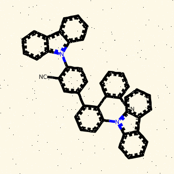 N#Cc1ccccc1-c1c(-c2ccc(-n3c4ccccc4c4ccccc43)c(C#N)c2)cccc1-n1c2ccccc2c2ccccc21